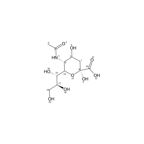 CC(=O)N[C@@H]1C(O)C[C@@](O)(C(=O)O)OC1[C@@H](O)[C@@H](O)CO